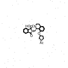 CC(=O)N1CCC(Oc2cccc3c2[C@@H](CN2C(=O)c4ccccc4C2=O)N(C(=O)O)CC3)C1